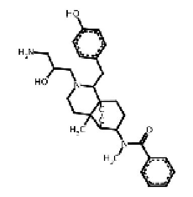 CN(C(=O)c1ccccc1)C1CCC23CCC1C2(C)CCN(CC(O)CN)C3Cc1ccc(O)cc1